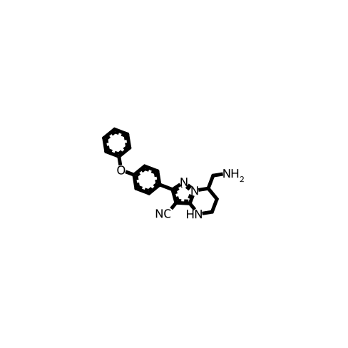 N#Cc1c(-c2ccc(Oc3ccccc3)cc2)nn2c1NCCC2CN